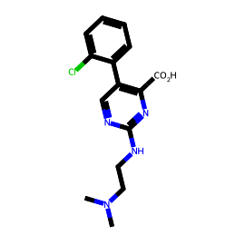 CN(C)CCNc1ncc(-c2ccccc2Cl)c(C(=O)O)n1